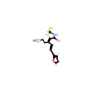 CCOC(=O)CCC(/C=C/c1ccco1)=C1\SC(=S)NC1=O